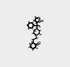 CC(c1ccccc1)(c1ccn[nH]1)N1CCN(CCc2ncccc2Cl)CC1